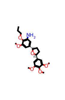 CCCOc1c(N)cc([C@@H]2CC[C@@H](c3cc(OC)c(OC)c(OC)c3)O2)cc1OC